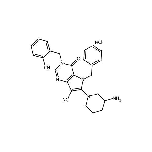 Cl.N#Cc1ccccc1Cn1cnc2c(C#N)c(N3CCCC(N)C3)n(Cc3ccccc3)c2c1=O